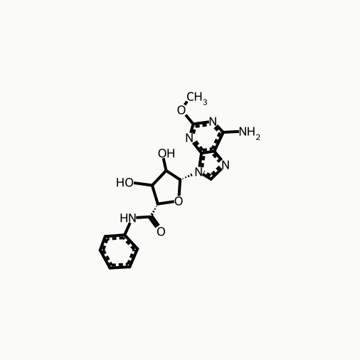 COc1nc(N)c2ncn([C@@H]3O[C@H](C(=O)Nc4ccccc4)C(O)C3O)c2n1